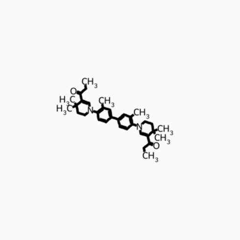 CCC(=O)C1=CN(c2ccc(-c3ccc(N4C=C(C(=O)CC)C(C)(C)CC4)c(C)c3)cc2C)CCC1(C)C